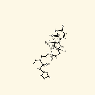 CCC(CCO[P@@]1(=O)OC[C@H]2O[C@@H](n3ccc(=O)[nH]c3=O)[C@](C)(N)[C@@H]2O1)C(=O)OC1CCCC1